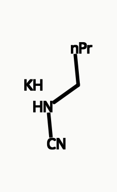 CCCCNC#N.[KH]